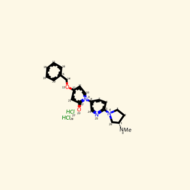 CN[C@H]1CCN(c2ccc(-n3ccc(OCc4ccccc4)cc3=O)cn2)C1.Cl.Cl